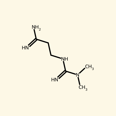 CN(C)C(=N)NCCC(=N)N